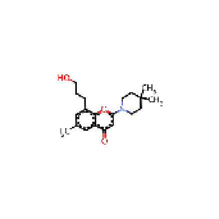 Cc1cc(CCCO)c2oc(N3CCC(C)(C)CC3)cc(=O)c2c1